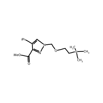 COC(=O)c1nn(COCC[Si](C)(C)C)cc1C(C)C